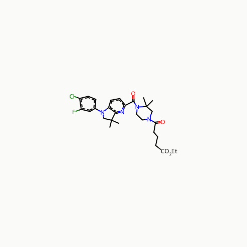 CCOC(=O)CCCC(=O)N1CCN(C(=O)c2ccc3c(n2)C(C)(C)CN3c2ccc(Cl)c(F)c2)C(C)(C)C1